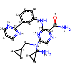 NC(=O)c1ncc(N(CC2CC2)C2(N)CC2)nc1Nc1cccc(-c2ncccn2)c1